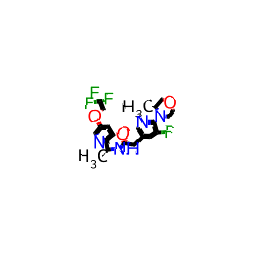 C[C@@H]1COCCN1c1ncc(CC(=O)N[C@H](C)c2ccc(OCC(F)(F)F)cn2)cc1F